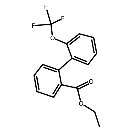 CCOC(=O)c1ccccc1-c1ccccc1OC(F)(F)F